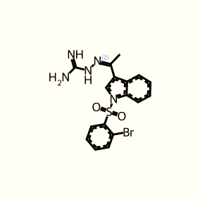 C/C(=N/NC(=N)N)c1cn(S(=O)(=O)c2ccccc2Br)c2ccccc12